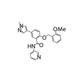 COc1ccccc1COc1ccc(-c2cnn(C)c2)cc1C(=O)Nc1cccnc1